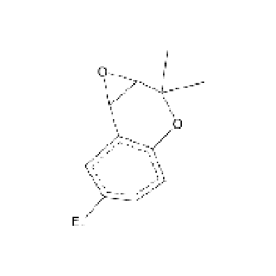 CCc1ccc2c(c1)C1OC1C(C)(C)O2